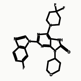 O=c1[nH]c2c(N3CCC(F)(F)CC3)nc(-n3cnc4ccc(F)cc43)nc2n1C1CCOCC1